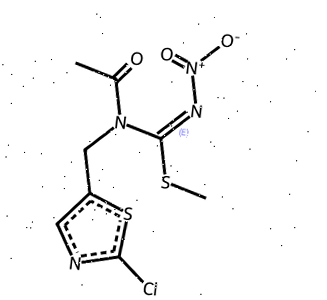 CS/C(=N/[N+](=O)[O-])N(Cc1cnc(Cl)s1)C(C)=O